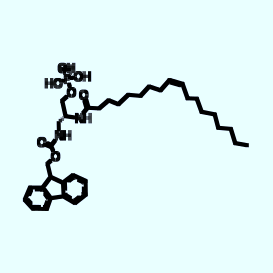 CCCCCCCC/C=C\CCCCCCCC(=O)N[C@H](CNC(=O)OCC1c2ccccc2-c2ccccc21)CO[PH](O)(O)O